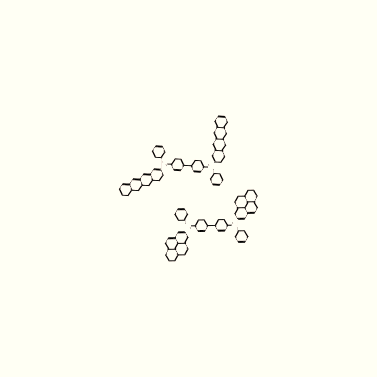 c1ccc(N(c2ccc(-c3ccc(N(c4ccccc4)c4cc5ccc6cccc7ccc(c4)c5c67)cc3)cc2)c2cc3ccc4cccc5ccc(c2)c3c45)cc1.c1ccc(N(c2ccc(-c3ccc(N(c4ccccc4)c4ccc5cc6cc7ccccc7cc6cc5c4)cc3)cc2)c2ccc3cc4cc5ccccc5cc4cc3c2)cc1